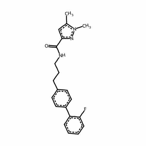 Cc1cc(C(=O)NCCCc2ccc(-c3ccccc3F)cc2)nn1C